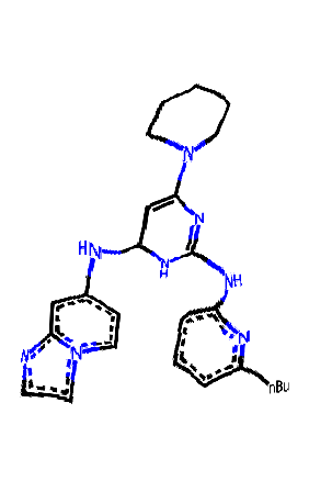 CCCCc1cccc(NC2=NC(N3CCCCC3)=CC(Nc3ccn4ccnc4c3)N2)n1